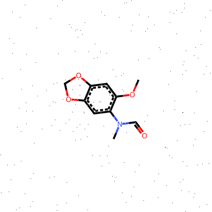 COc1cc2c(cc1N(C)C=O)OCO2